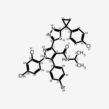 CC(C)NC(=O)c1c(-c2nnc(C3(c4ccc(Cl)cc4)CC3)s2)nn(-c2ccc(Cl)cc2Cl)c1-c1ccc(Br)cc1